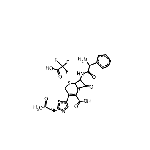 CC(=O)Nc1ncc(C2=C(C(=O)O)N3C(=O)C(NC(=O)C(N)c4ccccc4)C3SC2)s1.O=C(O)C(F)(F)F